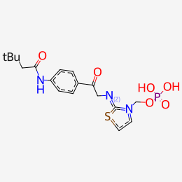 CC(C)(C)CC(=O)Nc1ccc(C(=O)C/N=c2\sccn2COP(=O)(O)O)cc1